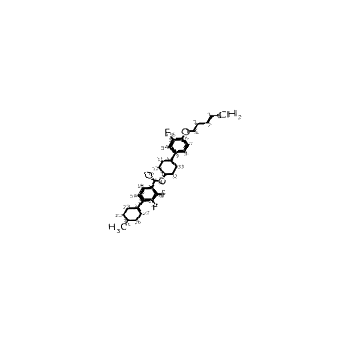 CCCCCOc1ccc(C2CCC(OC(=O)c3ccc(C4CCC(C)CC4)c(F)c3F)CC2)cc1F